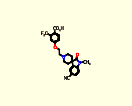 CN1C(=O)C2(CCN(CCOc3ccc(C(=O)O)c(C(F)(F)F)c3)CC2)c2cc(C#N)ccc21